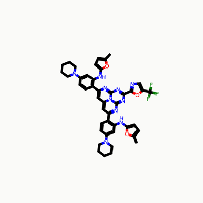 Cc1ccc(Nc2cc(N3CCCCC3)ccc2C2=CC3=CC(c4ccc(N5CCCCC5)cc4Nc4ccc(C)o4)=NC4=NC(c5ncc(C(F)(F)F)o5)=NC(=N2)N34)o1